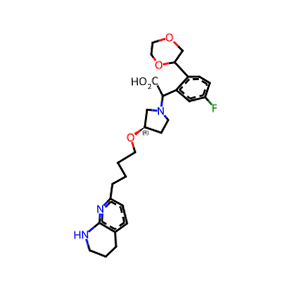 O=C(O)C(c1cc(F)ccc1C1COCCO1)N1CC[C@@H](OCCCCc2ccc3c(n2)NCCC3)C1